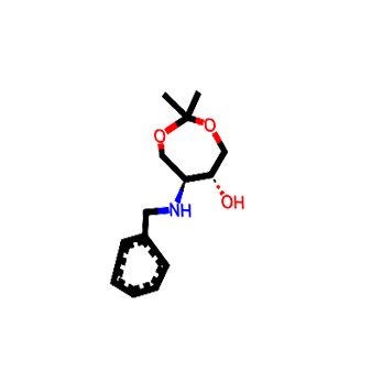 CC1(C)OC[C@H](NCc2ccccc2)[C@@H](O)CO1